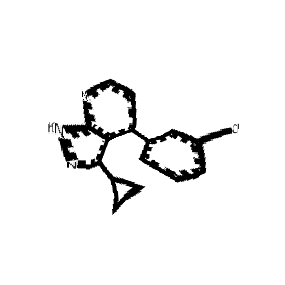 Clc1cccc(-c2ccnc3[nH]nc(C4CC4)c23)c1